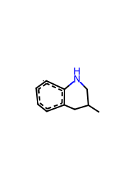 CC1CNc2[c]cccc2C1